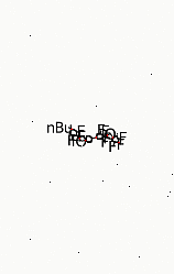 CCCCc1cc(F)c(C(F)(F)Oc2ccc(-c3cc(F)c(C(F)(F)Oc4cc(F)c(F)c(F)c4)c(F)c3)cc2)c(F)c1